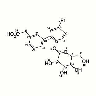 CCc1ccc(O[C@H]2O[C@H](CO)[C@@H](O)[C@H](O)[C@@H]2O)c(-c2cccc(CC(=O)O)c2)c1